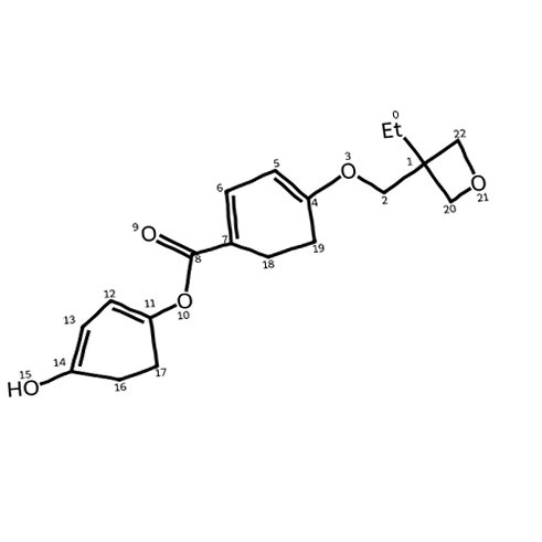 CCC1(COC2=CC=C(C(=O)OC3=CC=C(O)CC3)CC2)COC1